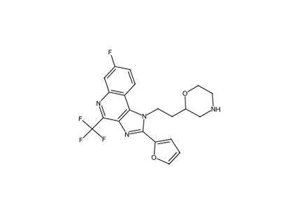 Fc1ccc2c(c1)nc(C(F)(F)F)c1nc(-c3ccco3)n(CCC3CNCCO3)c12